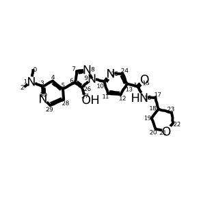 CN(C)c1cc(-c2cnn(-c3ccc(C(=O)NCC4CCOCC4)cn3)c2O)ccn1